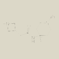 CC(C)N1CCC(C)(NC(=O)CC2CNC2)CC1